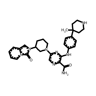 CC1(c2ccc(Nc3nc(N4CCCC(n5cc6ccccn6c5=O)C4)cnc3C(N)=O)cc2)CCNCC1